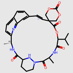 CC1NC(=O)C(C(C)C)OC(=O)C2(/C=C/c3ccc4ccc(nc4c3)[C@@H](C)NC(=O)C3CCCN(N3)C1=O)COC(=O)OC2